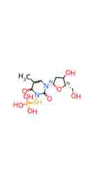 Cc1cn([C@@H]2CC(O)[C@H](CO)O2)c(=O)n([SH]=P(O)(O)O)c1=O